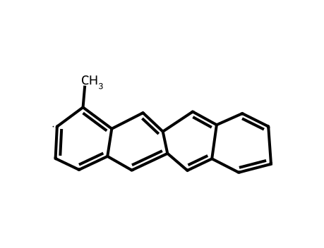 Cc1[c]ccc2cc3cc4ccccc4cc3cc12